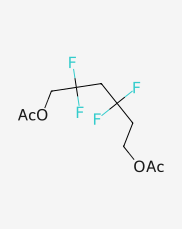 CC(=O)OCCC(F)(F)CC(F)(F)COC(C)=O